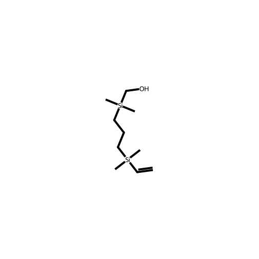 C=C[Si](C)(C)CCC[Si](C)(C)CO